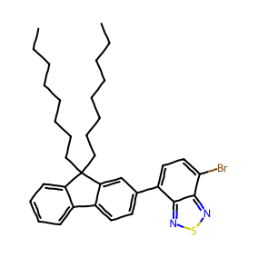 CCCCCCCCC1(CCCCCCCC)c2ccccc2-c2ccc(-c3ccc(Br)c4nsnc34)cc21